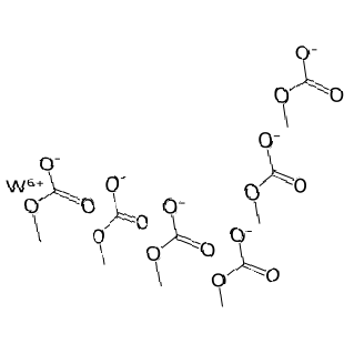 COC(=O)[O-].COC(=O)[O-].COC(=O)[O-].COC(=O)[O-].COC(=O)[O-].COC(=O)[O-].[W+6]